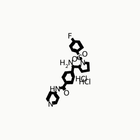 Cl.Cl.NC(c1ccc(C(=O)Nc2ccncc2)cc1)C1CCCN1S(=O)(=O)c1ccc(F)cc1